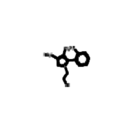 CCOC(=O)c1cn(CCO)c(-c2ccccc2C(F)(F)F)c1C